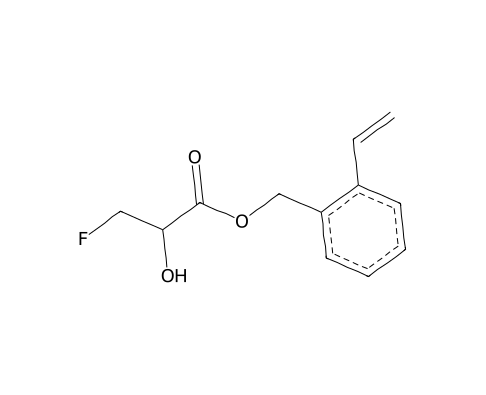 C=Cc1ccccc1COC(=O)C(O)CF